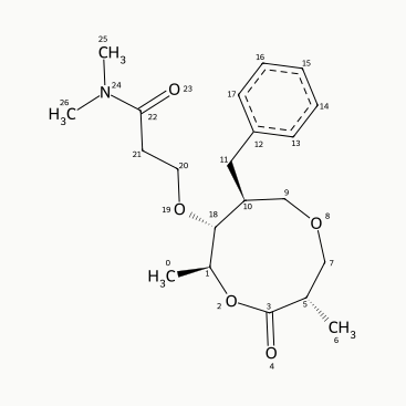 C[C@@H]1OC(=O)[C@@H](C)COC[C@H](Cc2ccccc2)[C@H]1OCCC(=O)N(C)C